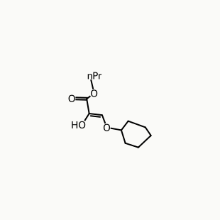 CCCOC(=O)C(O)=COC1CCCCC1